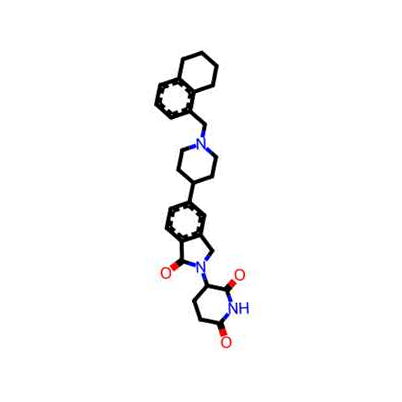 O=C1CCC(N2Cc3cc(C4CCN(Cc5cccc6c5CCCC6)CC4)ccc3C2=O)C(=O)N1